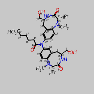 CC(C)[C@H]1C(=O)N[C@H](CO)Cc2cc(N(C(=O)CCCCC(=O)O)c3ccc4c(c3)C[C@@H](CO)NC(=O)[C@H](C(C)C)N4C)ccc2N1C